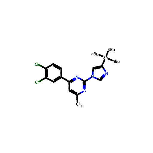 CCC[CH2][Sn]([CH2]CCC)([CH2]CCC)[c]1cn(-c2nc(-c3ccc(Cl)c(Cl)c3)cc(C(F)(F)F)n2)cn1